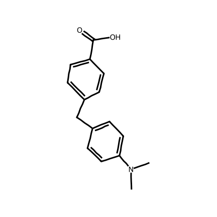 CN(C)c1ccc(Cc2ccc(C(=O)O)cc2)cc1